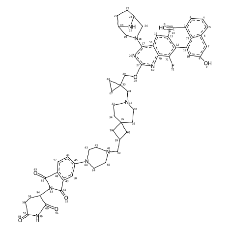 C#Cc1cccc2cc(O)cc(-c3c(F)cc4c(N5CC6CCC(C5)N6)nc(OCC5(CN6CCC7(CC6)CC(CN6CCN(c8ccc9c(c8)C(=O)N(C8CCC(=O)NC8=O)C9=O)CC6)C7)CC5)nc4c3F)c12